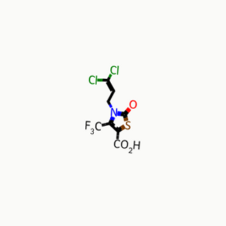 O=C(O)c1sc(=O)n(CC=C(Cl)Cl)c1C(F)(F)F